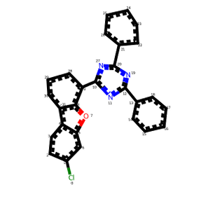 Clc1ccc2c(c1)oc1c(-c3nc(-c4ccccc4)nc(-c4ccccc4)n3)cccc12